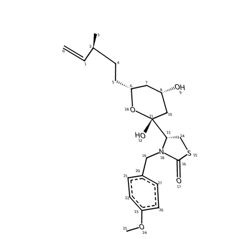 C=C[C@@H](C)CC[C@@H]1C[C@H](O)C[C@](O)([C@@H]2CSC(=O)N2Cc2ccc(OC)cc2)O1